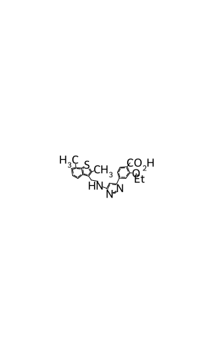 CCOc1cc(-c2cc(NCCc3c(C)sc4c(C)cccc34)ncn2)ccc1C(=O)O